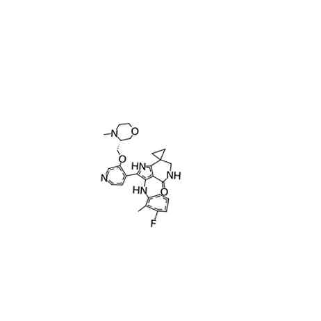 Cc1c(F)cccc1Nc1c(-c2ccncc2OC[C@H]2COCCN2C)[nH]c2c1C(=O)NCC21CC1